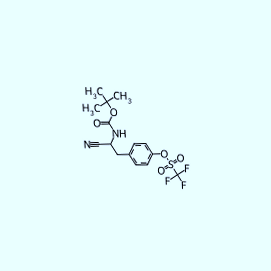 CC(C)(C)OC(=O)NC(C#N)Cc1ccc(OS(=O)(=O)C(F)(F)F)cc1